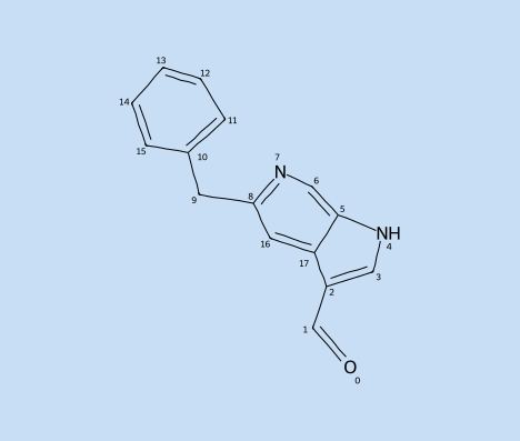 O=Cc1c[nH]c2cnc(Cc3ccccc3)cc12